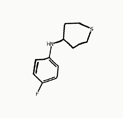 Fc1ccc(NC2CCSCC2)cc1